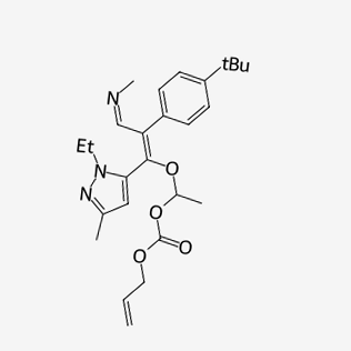 C=CCOC(=O)OC(C)O/C(=C(/C=N\C)c1ccc(C(C)(C)C)cc1)c1cc(C)nn1CC